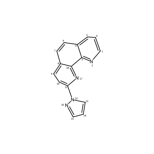 c1cnc2c(c1)ccc1ccc(-n3cccn3)nc12